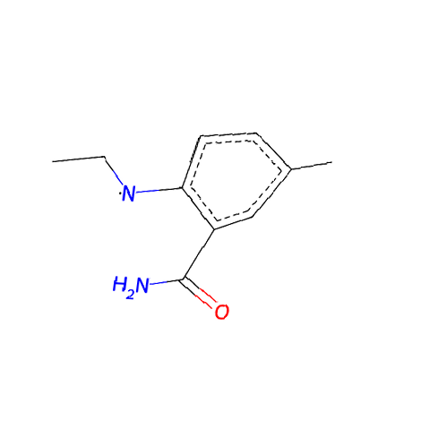 CC[N]c1ccc(C)cc1C(N)=O